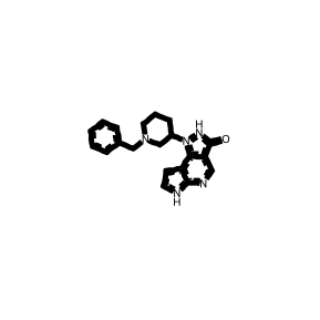 O=c1[nH]n(C2CCCN(Cc3ccccc3)C2)c2c1cnc1[nH]ccc12